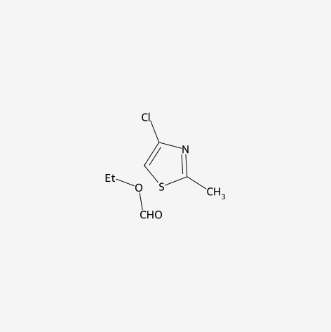 CCOC=O.Cc1nc(Cl)cs1